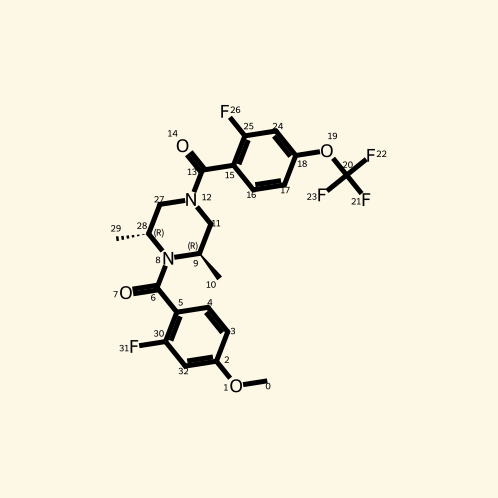 COc1ccc(C(=O)N2[C@H](C)CN(C(=O)c3ccc(OC(F)(F)F)cc3F)C[C@H]2C)c(F)c1